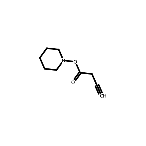 C#CCC(=O)ON1CCCCC1